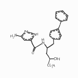 Nc1cc(C(=O)NC(Cc2ccc(-c3ccccc3)cc2)CC(O)C(=O)O)[nH]n1